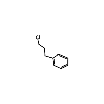 ClCCCc1[c]cccc1